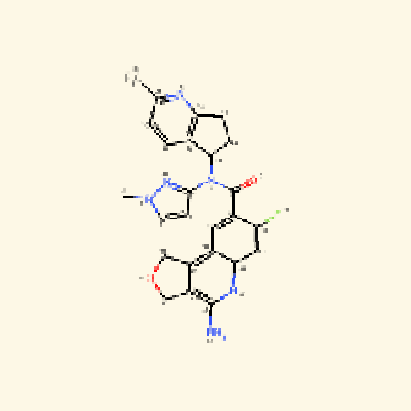 Cn1ccc(N(C(=O)c2cc3c4c(c(N)nc3cc2F)COC4)C2CCc3nc(C(F)(F)F)ccc32)n1